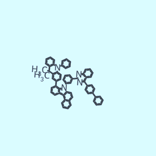 CC1(C)c2ccccc2N(c2ccccc2)c2ccc(-c3cccc4c5c6ccccc6ccc5n(-c5cccc(-c6nc(-c7ccc(-c8ccccc8)cc7)c7ccccc7n6)c5)c34)cc21